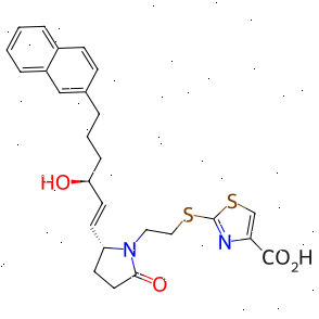 O=C(O)c1csc(SCCN2C(=O)CC[C@@H]2/C=C/[C@@H](O)CCCc2ccc3ccccc3c2)n1